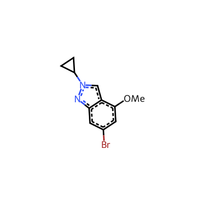 COc1cc(Br)cc2nn(C3CC3)cc12